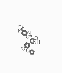 COc1ccc([C@H]2CNC(=O)[C@@H](Cc3nc4cc(C(F)(F)F)ccc4o3)C2)cc1OC1CCCC1